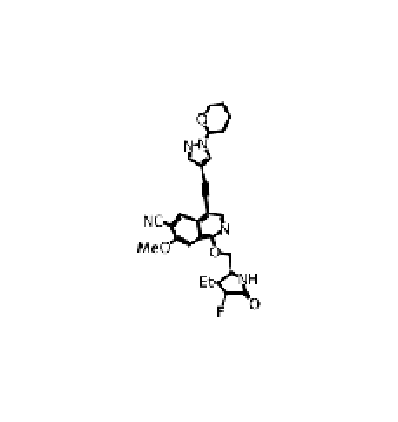 CC[C@@H]1[C@H](F)C(=O)N[C@@H]1COc1ncc(C#Cc2cnn(C3CCCCO3)c2)c2cc(C#N)c(OC)cc12